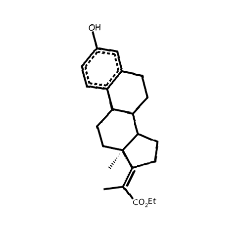 CCOC(=O)/C(C)=C1\CCC2C3CCc4cc(O)ccc4C3CC[C@]12C